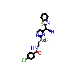 N#CC(c1ccnc([AsH]CCNC(=O)c2ccc(Cl)cc2)n1)c1nc2ccccc2s1